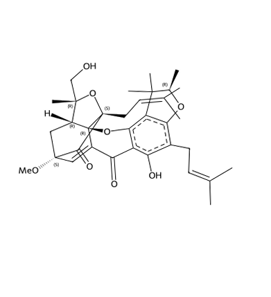 CO[C@]12C=C3C(=O)c4c(O)c(CC=C(C)C)c5c(c4O[C@]34[C@H](C1)[C@](C)(CO)O[C@]4(CC=C(C)C)C2=O)C(C)(C)[C@@H](C)O5